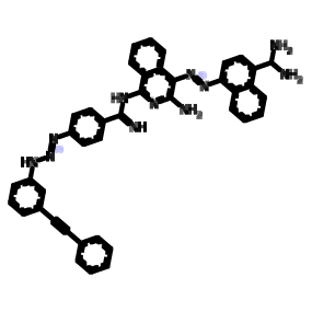 N=C(Nc1nc(N)c(/N=N/c2ccc(C(N)N)c3ccccc23)c2ccccc12)c1ccc(/N=N/Nc2cccc(C#Cc3ccccc3)c2)cc1